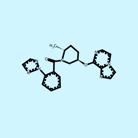 C[C@@H]1CC[C@@H](Oc2nccn3ccnc23)CN1C(=O)c1ccccc1-n1nccn1